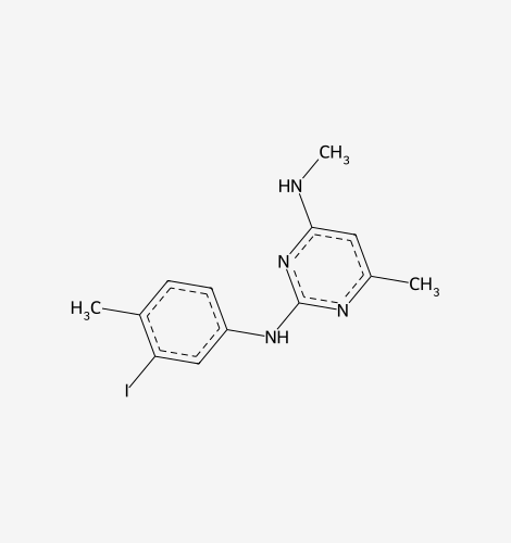 CNc1cc(C)nc(Nc2ccc(C)c(I)c2)n1